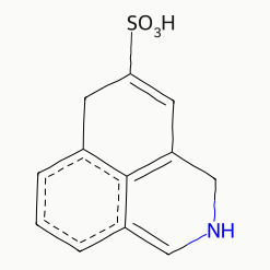 O=S(=O)(O)C1=CC2=c3c(cccc3=CNC2)C1